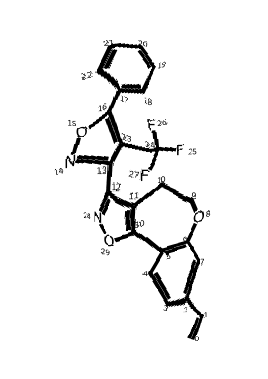 C=Cc1ccc2c(c1)OCCc1c(-c3noc(-c4ccccc4)c3C(F)(F)F)noc1-2